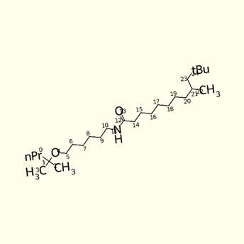 CCCC(C)(C)OCCCCCCNC(=O)CCCCCCCC(C)CC(C)(C)C